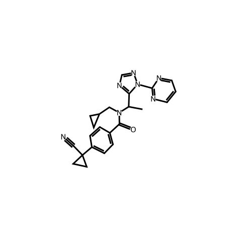 CC(c1ncnn1-c1ncccn1)N(CC1CC1)C(=O)c1ccc(C2(C#N)CC2)cc1